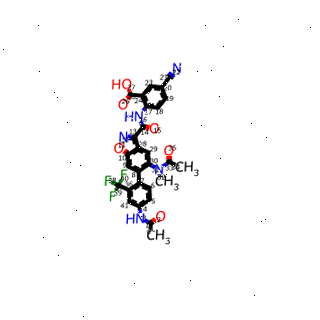 CC(=O)Nc1ccc(-c2cc3onc(C(=O)Nc4ccc(C#N)cc4C(=O)O)c3cc2N(C)C(C)=O)c(C(F)(F)F)c1